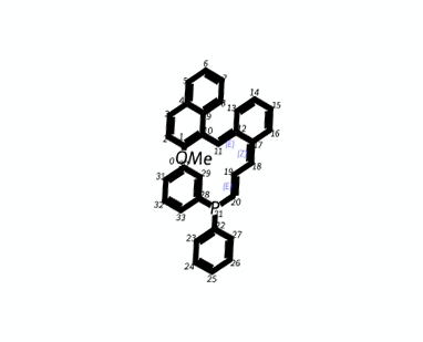 COc1ccc2ccccc2c1\C=c1/cccc/c1=C/C=C/P(c1ccccc1)c1ccccc1